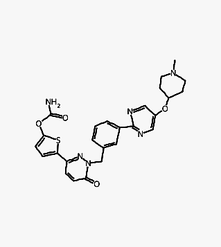 CN1CCC(Oc2cnc(-c3cccc(Cn4nc(-c5ccc(OC(N)=O)s5)ccc4=O)c3)nc2)CC1